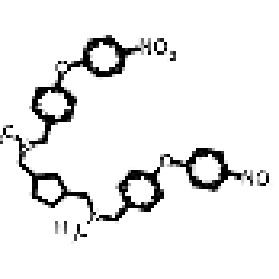 CN(Cc1ccc(Oc2ccc([N+](=O)[O-])cc2)cc1)CC1CCC(CN(C)Cc2ccc(Oc3ccc([N+](=O)[O-])cc3)cc2)C1